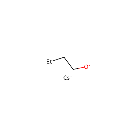 CCCC[O-].[Cs+]